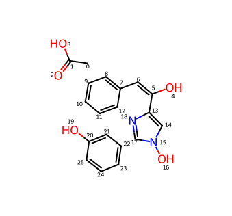 CC(=O)O.O/C(=C/c1ccccc1)c1cn(O)cn1.Oc1ccccc1